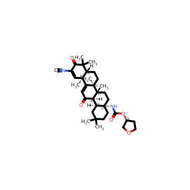 [C-]#[N+]C1=C[C@]2(C)C3=CC(=O)[C@@H]4[C@@H]5CC(C)(C)CC[C@]5(NC(=O)O[C@H]5CCOC5)CC[C@@]4(C)[C@]3(C)CC[C@H]2C(C)(C)C1=O